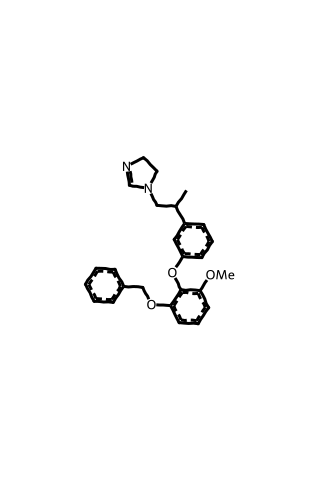 COc1cccc(OCc2ccccc2)c1Oc1cccc(C(C)CN2C=NCC2)c1